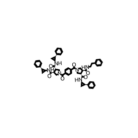 O=C(NCCc1ccccc1)[C@@H]1CN(C(=O)c2ccc(C(=O)N3C[C@@H](C(=O)NC4C[C@@H]4c4ccccc4)[C@H](C(=O)N[C@H]4C[C@@H]4c4ccccc4)C3)cc2)C[C@H]1C(=O)N[C@H]1C[C@@H]1c1ccccc1